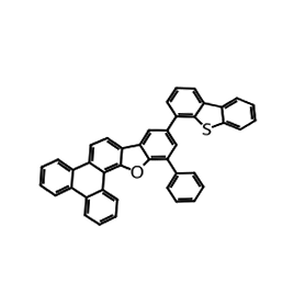 c1ccc(-c2cc(-c3cccc4c3sc3ccccc34)cc3c2oc2c3ccc3c4ccccc4c4ccccc4c32)cc1